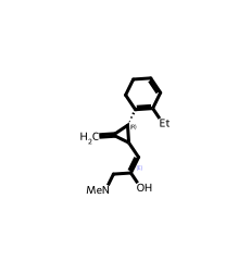 C=C1C(/C=C(/O)CNC)[C@H]1C1=C(CC)C=CCC1